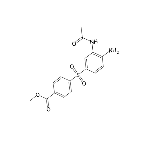 COC(=O)c1ccc(S(=O)(=O)c2ccc(N)c(NC(C)=O)c2)cc1